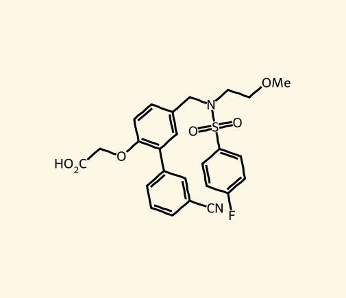 COCCN(Cc1ccc(OCC(=O)O)c(-c2cccc(C#N)c2)c1)S(=O)(=O)c1ccc(F)cc1